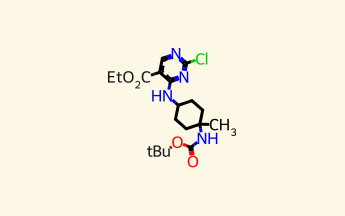 CCOC(=O)c1cnc(Cl)nc1NC1CCC(C)(NC(=O)OC(C)(C)C)CC1